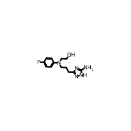 Nc1nc(CCCN(CCO)c2ccc(F)cc2)n[nH]1